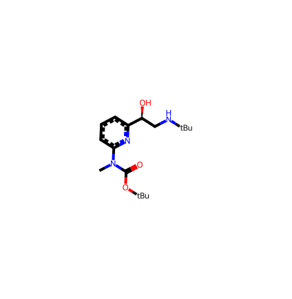 CN(C(=O)OC(C)(C)C)c1cccc([C@@H](O)CNC(C)(C)C)n1